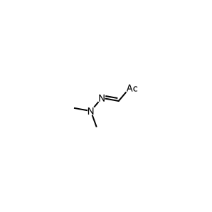 CC(=O)C=NN(C)C